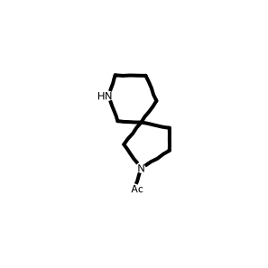 CC(=O)N1CCC2(CCCNC2)C1